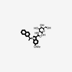 COc1ccc2c(C(=O)N[C@H]3C(O)O[C@H](CO)[C@@H](O)[C@@H]3O)cn(C(C)c3ccc4ccccc4c3)c2c1